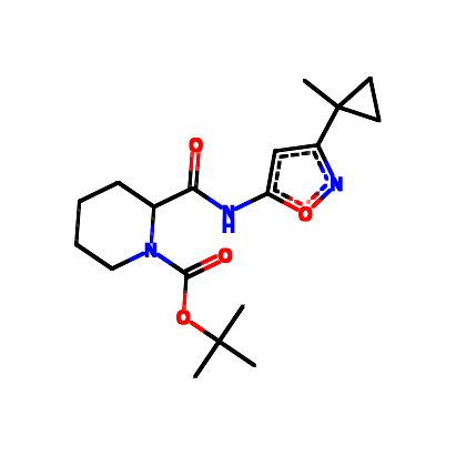 CC(C)(C)OC(=O)N1CCCCC1C(=O)Nc1cc(C2(C)CC2)no1